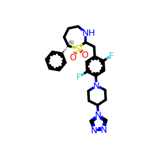 O=S1(=O)C(Cc2cc(F)c(N3CCC(n4cnnc4)CC3)cc2F)NCCC[C@H]1c1ccccc1